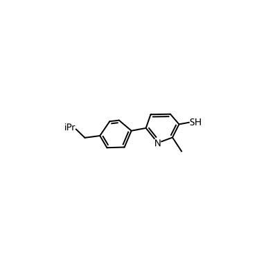 Cc1nc(-c2ccc(CC(C)C)cc2)ccc1S